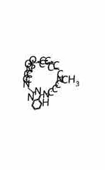 CN1CCCNc2nc(nc3ccccc23)CN2CCN(CC2)S(=O)(=O)c2ccc3cc(ccc3c2)C1